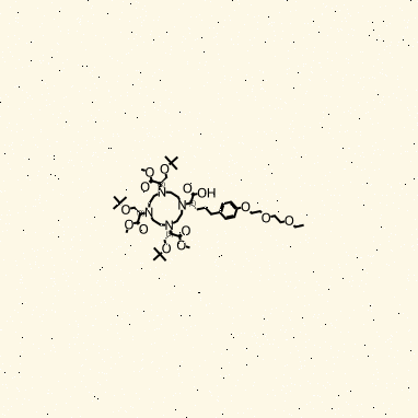 CCOCCOCCOc1ccc(CCC[C@@H](C(=O)O)N2CCN([C@H](COC(C)(C)C)C(=O)OC)CCN([C@H](COC(C)(C)C)C(=O)OC)CCN([C@@H](COC(C)(C)C)C(=O)OC)CC2)cc1